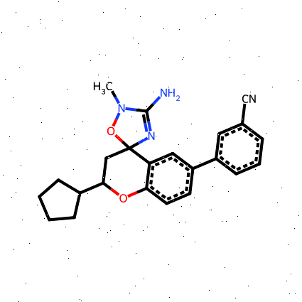 CN1OC2(CC(C3CCCC3)Oc3ccc(-c4cccc(C#N)c4)cc32)N=C1N